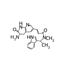 CC(c1c[nH]c2ccccc12)N(C)C(=O)C=Cc1cnc2c(c1)CC(N)C(=O)N2